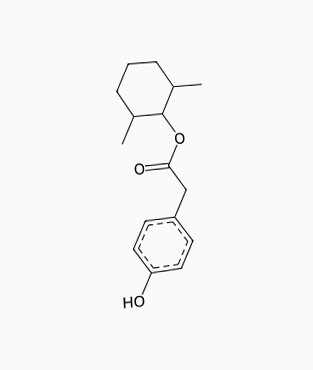 CC1CCCC(C)C1OC(=O)Cc1ccc(O)cc1